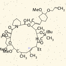 C=CCOC1CCC(C=C(C)C2OC(=O)C3CCCCN3C(=O)C(=O)C3(O)OC(C(OC)CC(C)C/C(C)=C/C(CC)C(=O)CC(O[Si](C)(C)C(C)(C)C)C2C)C(OC)CC3C)CC1OC